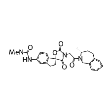 CNC(=O)Nc1ccc2c(c1)CC[C@]21OC(=O)N(CC(=O)N2Cc3ccccc3CC[C@H]2C)C1=O